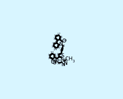 Cc1nnc2n1-c1sc(C#CCn3c(=O)c4ccccc4c4ccccc43)cc1C(c1ccccc1Cl)=[N+]([O-])C2